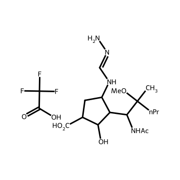 CCCC(C)(OC)C(NC(C)=O)C1C(NC=NN)CC(C(=O)O)C1O.O=C(O)C(F)(F)F